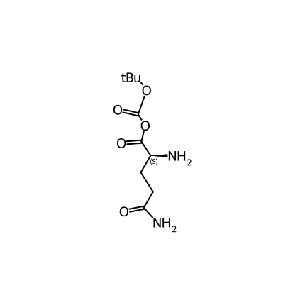 CC(C)(C)OC(=O)OC(=O)[C@@H](N)CCC(N)=O